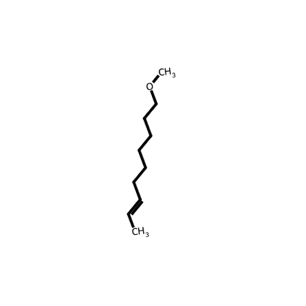 CC=CCCCCCCOC